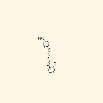 Oc1ccc(SCCCCOc2ccccc2F)cc1